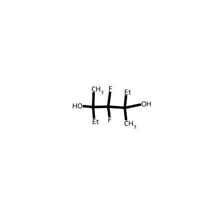 CCC(C)(O)C(F)(F)C(C)(O)CC